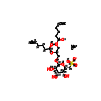 CCCCCCCCCCCCCC(=O)OCC(CO[C@H]1O[C@H](CS(=O)(=O)[O-])[C@H](O)[C@H](O)[C@H]1O)OC(=O)CCCCCCCCCCCCC.[Na+]